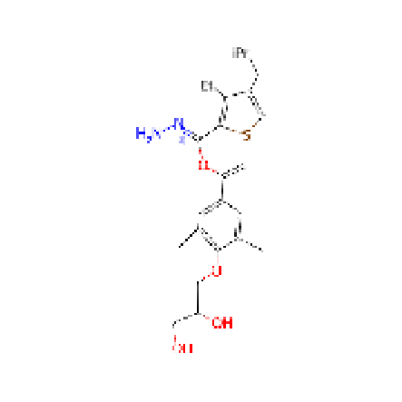 C=C(O/C(=N\N)c1scc(CC(C)C)c1CC)c1cc(C)c(OCC(O)CO)c(C)c1